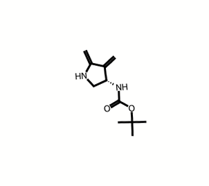 C=C1NC[C@@H](NC(=O)OC(C)(C)C)C1=C